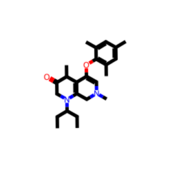 CCC(CC)N1CC(=O)C(C)C2=C1CN(C)C=C2Oc1c(C)cc(C)cc1C